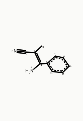 C/C(C#N)=C(/N)c1ccccc1